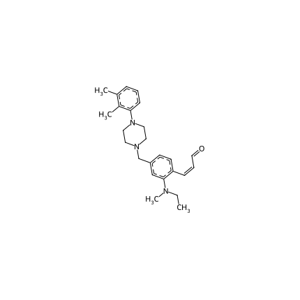 CCN(C)c1cc(CN2CCN(c3cccc(C)c3C)CC2)ccc1/C=C\C=O